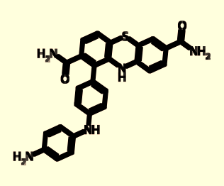 NC(=O)c1ccc2c(c1)Sc1ccc(C(N)=O)c(-c3ccc(Nc4ccc(N)cc4)cc3)c1N2